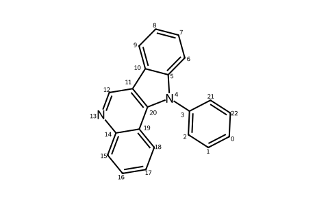 c1ccc(-n2c3ccccc3c3cnc4ccccc4c32)cc1